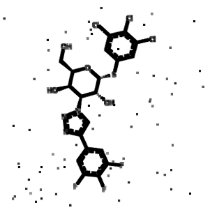 OC[C@H]1O[C@H](Sc2cc(Cl)c(Cl)c(Cl)c2)[C@H](O)[C@@H](n2cc(-c3cc(F)c(F)c(F)c3)nn2)[C@H]1O